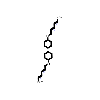 CCC/C=C/C=C/COC1CCC([C@H]2CC[C@H](OC/C=C/C=C/CCC)CC2)CC1